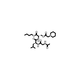 CCCCOC(=O)[C@H](COC(=O)CN1CCCCC1)NC(=O)[C@H](CC(C)C)NC(=O)CNC(C)=O